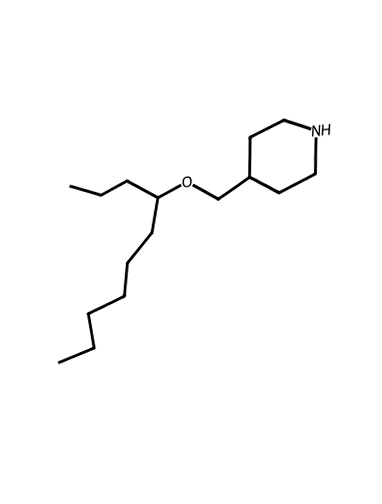 CCCCCCC(CCC)OCC1CCNCC1